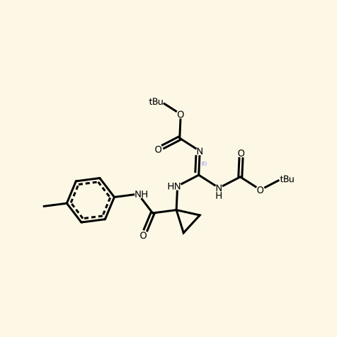 Cc1ccc(NC(=O)C2(N/C(=N\C(=O)OC(C)(C)C)NC(=O)OC(C)(C)C)CC2)cc1